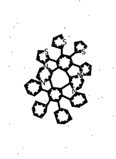 c1ccc(-c2c(-c3ccccc3)c(-c3ccccc3)c3c(c2-c2ccccc2)-c2nccnc2-c2c(-c4cccs4)c(-c4cccs4)c(-c4cccs4)c(-c4cccs4)c2-c2nccnc2-3)cc1